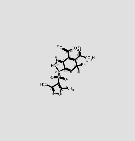 Cc1noc(C)c1S(=O)(=O)N1NN=C2C1=CC(F)(F)C(C(=O)C(=O)O)=C2C(=O)C(=O)O